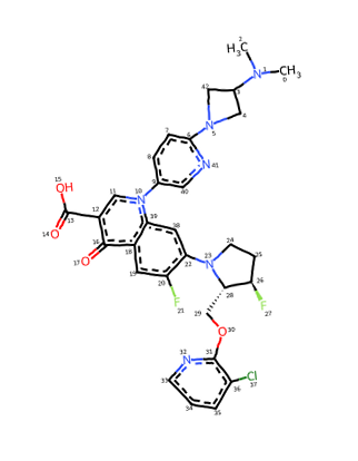 CN(C)C1CN(c2ccc(-n3cc(C(=O)O)c(=O)c4cc(F)c(N5CC[C@@H](F)[C@@H]5COc5ncccc5Cl)cc43)cn2)C1